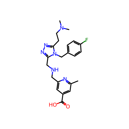 Cc1cc(C(=O)O)cc(CNCc2nnc(CCN(C)C)n2Cc2ccc(F)cc2)n1